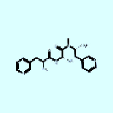 CCCC[C@H](NC(=O)[C@@H](N)Cc1cccnc1)C(=O)N(C)[C@@H](Cc1cccnc1)C(=O)O